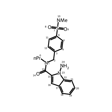 CCCN(Cc1ccc(S(=O)(=O)NC)cc1)C(=O)c1cc2ccccc2n1N